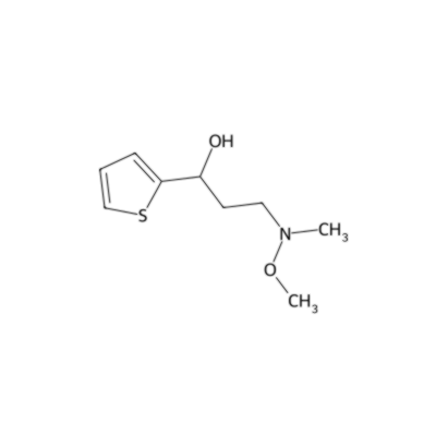 CON(C)CCC(O)c1cccs1